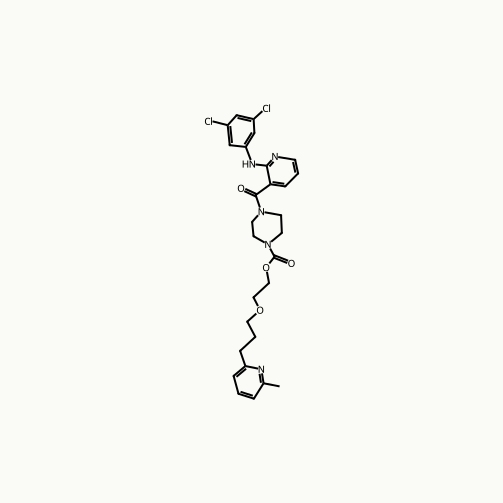 Cc1cccc(CCCOCCOC(=O)N2CCN(C(=O)c3cccnc3Nc3cc(Cl)cc(Cl)c3)CC2)n1